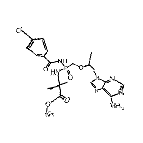 CCCOC(=O)C(C)(C)NP(=O)(COC(C)Cn1cnc2c(N)ncnc21)NC(=O)c1ccc(Cl)cc1